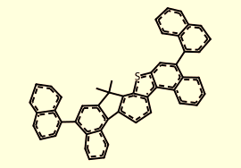 CC1(C)c2cc(-c3cccc4ccccc34)c3ccccc3c2-c2ccc3c(sc4cc(-c5cccc6ccccc56)c5ccccc5c43)c21